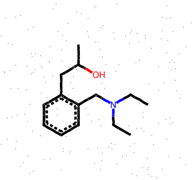 CCN(CC)Cc1ccccc1CC(C)O